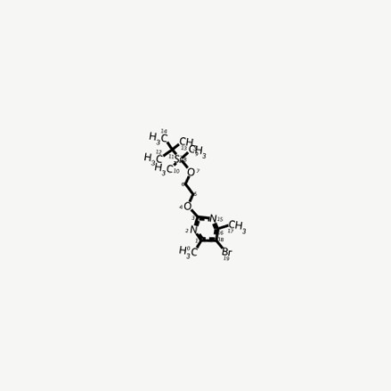 Cc1nc(OCCO[Si](C)(C)C(C)(C)C)nc(C)c1Br